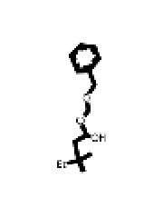 CCC(C)(C)CC(O)OCOCc1ccccc1